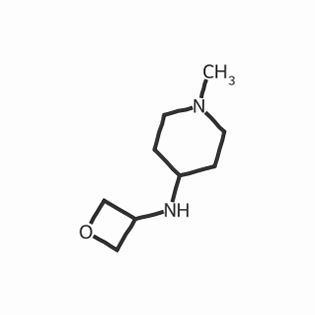 CN1CCC(NC2COC2)CC1